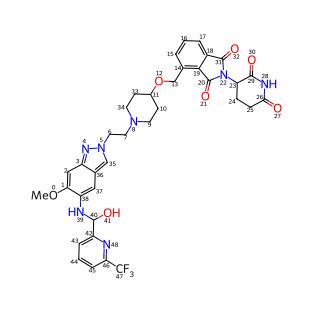 COc1cc2nn(CCN3CCC(OCc4cccc5c4C(=O)N(C4CCC(=O)NC4=O)C5=O)CC3)cc2cc1NC(O)c1cccc(C(F)(F)F)n1